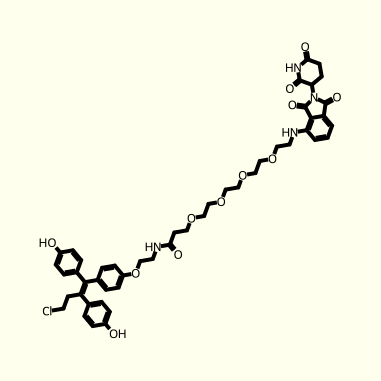 O=C(CCOCCOCCOCCOCCNc1cccc2c1C(=O)N(C1CCC(=O)NC1=O)C2=O)NCCOc1ccc(C(=C(CCCl)c2ccc(O)cc2)c2ccc(O)cc2)cc1